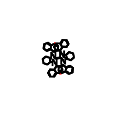 c1ccc2c(N3C(=C4N(c5cccc6ccccc56)C5CCCCC5N4c4cccc5ccccc45)N(c4cccc5ccccc45)C4CCCCC43)cccc2c1